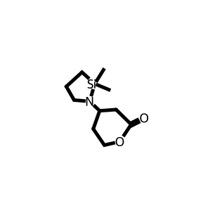 C[Si]1(C)CCCN1C1CCOC(=O)C1